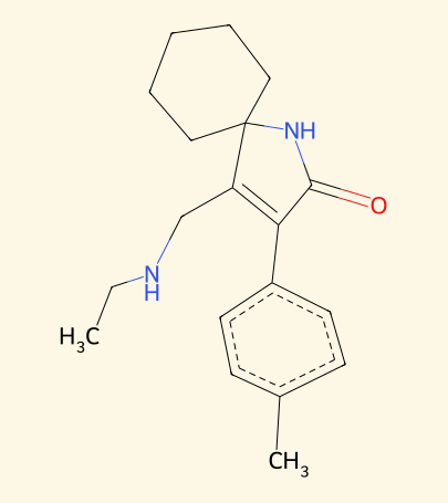 CCNCC1=C(c2ccc(C)cc2)C(=O)NC12CCCCC2